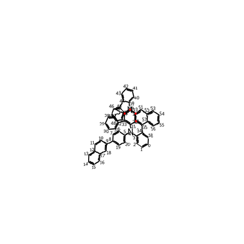 c1ccc(N(c2ccc(-c3ccc4ccccc4c3)cc2)c2cccc3sc4ccccc4c23)c(-c2cc(-n3c4ccccc4c4ccccc43)cc3ccccc23)c1